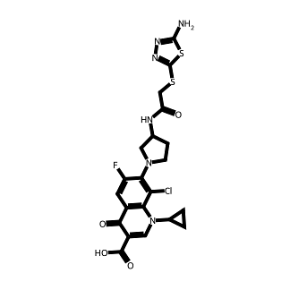 Nc1nnc(SCC(=O)NC2CCN(c3c(F)cc4c(=O)c(C(=O)O)cn(C5CC5)c4c3Cl)C2)s1